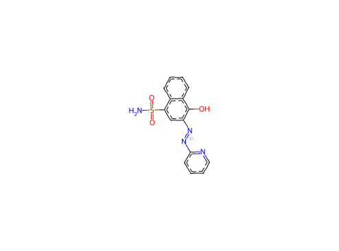 NS(=O)(=O)c1cc(/N=N/c2ccccn2)c(O)c2ccccc12